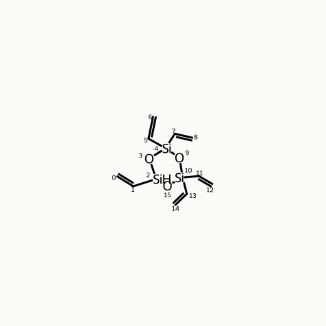 C=C[SiH]1O[Si](C=C)(C=C)O[Si](C=C)(C=C)O1